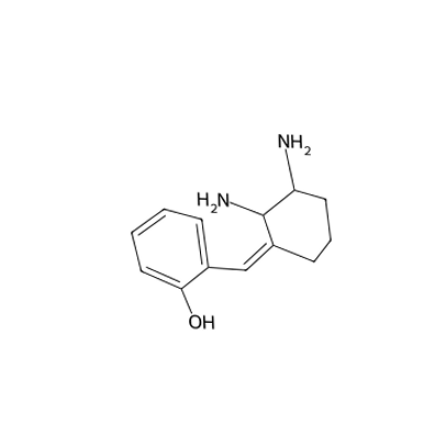 NC1CCC/C(=C/c2ccccc2O)C1N